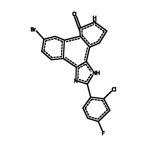 O=c1[nH]ccc2c3[nH]c(-c4ccc(F)cc4Cl)nc3c3ccc(Br)cc3c12